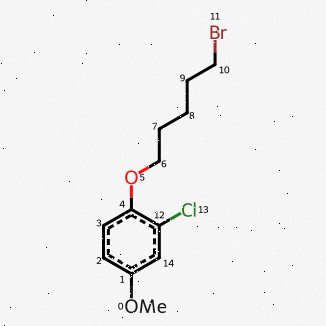 COc1ccc(OCCCCCBr)c(Cl)c1